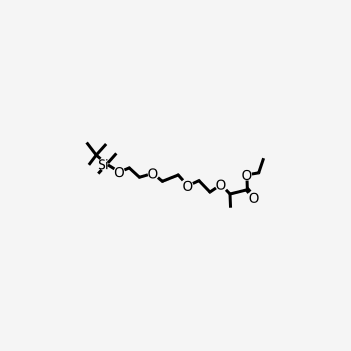 CCOC(=O)C(C)OCCOCCOCCO[Si](C)(C)C(C)(C)C